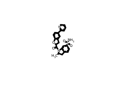 CC1Cc2ccc(S(N)(=O)=O)cc2N1C(=O)C1Cc2cc(-c3ccccn3)ccc2O1